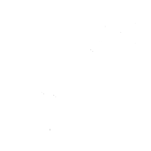 CC(C)(C)OC(=O)N1CC2(CCC(n3cc(Br)c(C(F)F)n3)CC2)C1